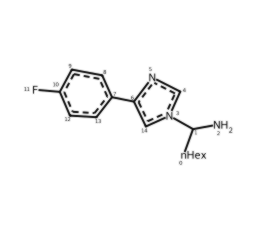 CCCCCCC(N)n1cnc(-c2ccc(F)cc2)c1